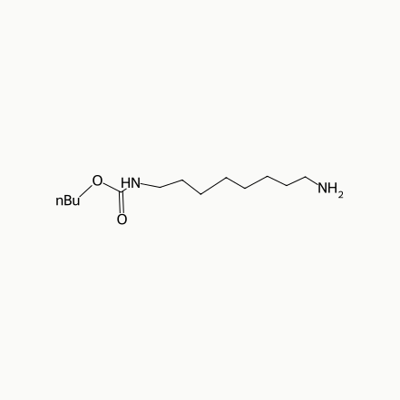 CCCCOC(=O)NCCCCCCCCN